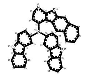 c1ccc2cc3c(cc2c1)sc1nccc(N(c2ccc4oc5ccccc5c4c2)c2ccc4sc5ccccc5c4c2)c13